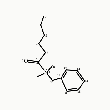 CCCCCC(=O)[N+](C)(C)Cc1ccccc1